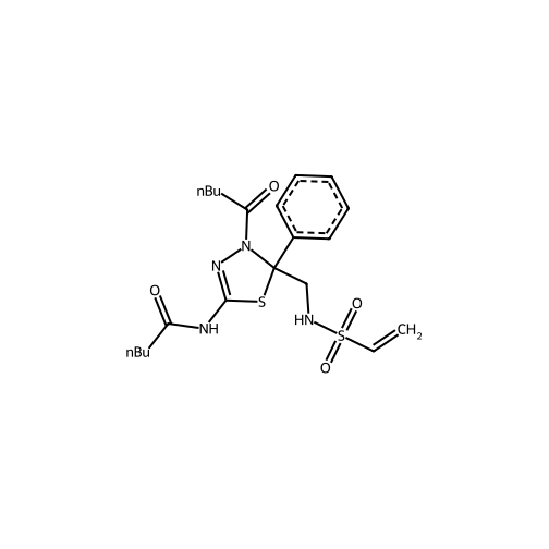 C=CS(=O)(=O)NCC1(c2ccccc2)SC(NC(=O)CCCC)=NN1C(=O)CCCC